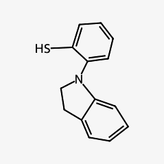 Sc1ccccc1N1CCc2ccccc21